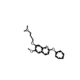 COc1cc2ccc(Oc3ccccc3)nc2cc1OCCCN(C)C